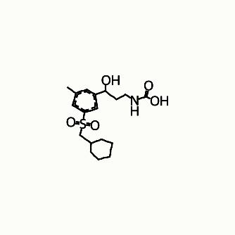 Cc1cc(C(O)CCNC(=O)O)cc(S(=O)(=O)CC2CCCCC2)c1